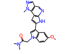 COc1ccc2c(c1)c(-c1cc3c(ncc4cnn(C)c43)[nH]1)cn2CC(=O)N(C)C